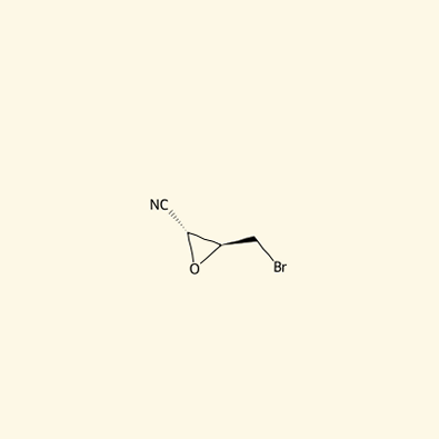 N#C[C@H]1O[C@@H]1CBr